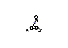 Brc1ccc2c(c1)c1cc(Br)ccc1n2C/C=C/Oc1ccccc1